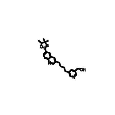 CC1OB(c2ccc3ncc(CCCCc4cncc(CO)c4)cc3c2)OC1(C)C